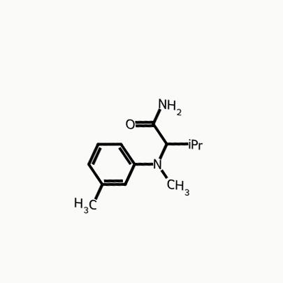 Cc1cccc(N(C)C(C(N)=O)C(C)C)c1